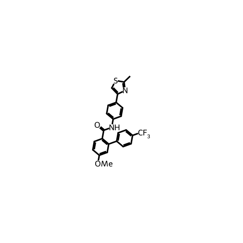 COc1ccc(C(=O)Nc2ccc(-c3csc(C)n3)cc2)c(-c2ccc(C(F)(F)F)cc2)c1